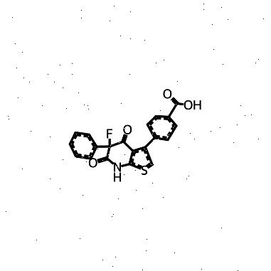 O=C(O)c1ccc(-c2csc3c2C(=O)C(F)(c2ccccc2)C(=O)N3)cc1